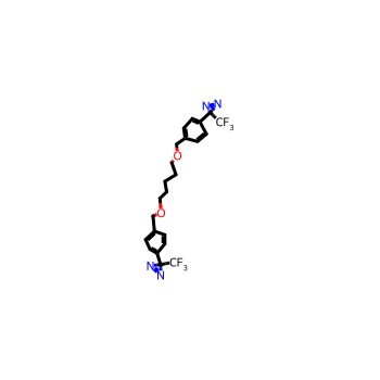 FC(F)(F)C1(c2ccc(COCCCCCOCc3ccc(C4(C(F)(F)F)N=N4)cc3)cc2)N=N1